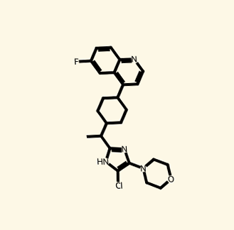 CC(c1nc(N2CCOCC2)c(Cl)[nH]1)C1CCC(c2ccnc3ccc(F)cc23)CC1